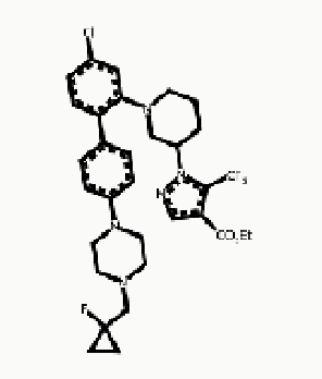 CCOC(=O)c1cnn(C2CCCN(c3cc(Cl)ccc3-c3ccc(N4CCN(CC5(F)CC5)CC4)cc3)C2)c1C(F)(F)F